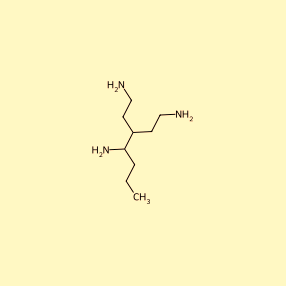 CCCC(N)C(CCN)CCN